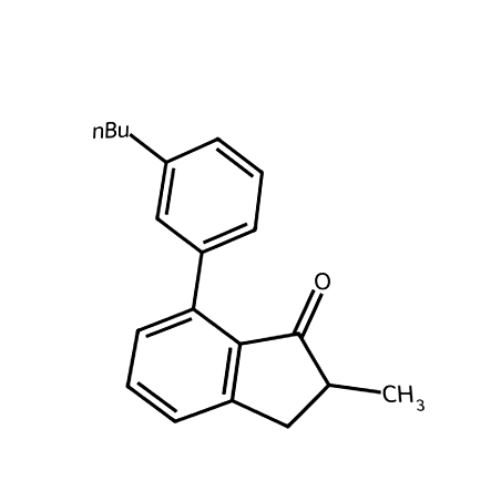 CCCCc1cccc(-c2cccc3c2C(=O)C(C)C3)c1